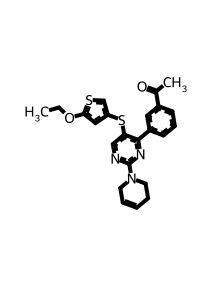 CCOc1cc(Sc2cnc(N3CC=CCC3)nc2-c2cccc(C(C)=O)c2)cs1